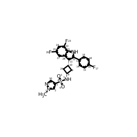 Cn1cc(S(=O)(=O)N[C@H]2C[C@@H](c3c(-c4ccc(F)cc4)[nH]c4c(F)cc(F)cc43)C2)cn1